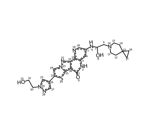 O=c1[nH]c2cc(NC(O)CN3CCC4(CC3)CC4)cnc2c2nn3cc(-c4cnn(CCO)c4)sc3c12